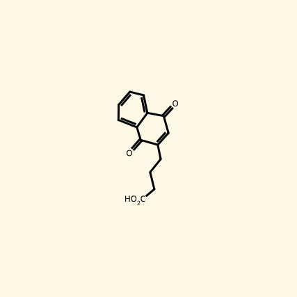 O=C(O)CCCC1=CC(=O)c2ccccc2C1=O